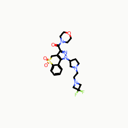 O=C(c1nn(C2CCN(CCN3CC(F)(F)C3)C2)c2c1CS(=O)(=O)c1ccccc1-2)N1CCOCC1